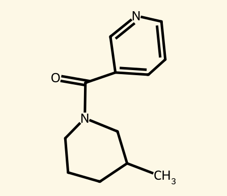 CC1CCCN(C(=O)c2cccnc2)C1